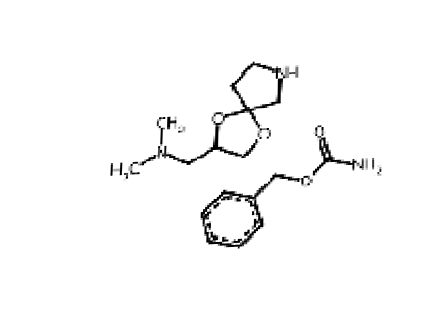 CN(C)CC1COC2(CCNC2)O1.NC(=O)OCc1ccccc1